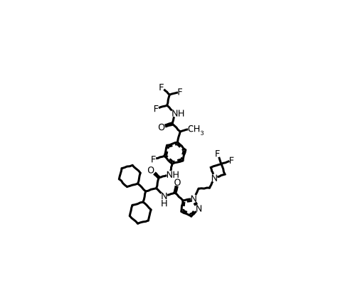 CC(C(=O)NC(F)C(F)F)c1ccc(NC(=O)C(NC(=O)c2ccnn2CCN2CC(F)(F)C2)C(C2CCCCC2)C2CCCCC2)c(F)c1